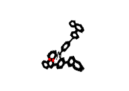 c1ccc(N(c2ccc(-c3ccc(-c4cccc5ccccc45)cc3)cc2)c2cc(-c3ccc4ccccc4c3)ccc2-c2ccc3ccccc3c2)cc1